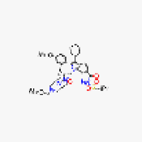 COCN1CC2CN(C)CC(C1)N2C(=O)C12CC1c1cc(OC)ccc1-c1c(C3CCCCC3)c3ccc(C(=O)NS(=O)(=O)CC(C)C)cc3n1C2